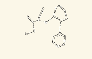 C=C(OCC)C(=O)Oc1ccccc1-c1ccccc1